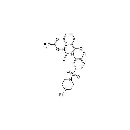 CCN1CCN(S(=O)(=O)c2ccc(Cl)c(-n3c(=O)c4ccccc4n(OC(=O)C(F)(F)F)c3=O)c2)CC1